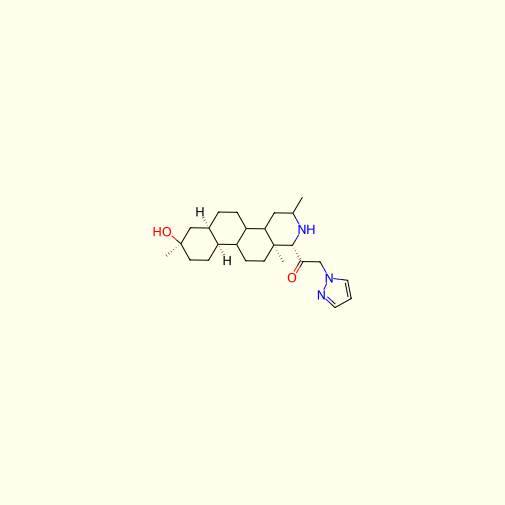 CC1CC2C3CC[C@@H]4C[C@](C)(O)CC[C@@H]4C3CC[C@]2(C)[C@@H](C(=O)Cn2cccn2)N1